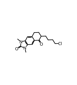 Cn1c(=O)n(C)c2cc3c(cc21)CCC(CCCCCl)C3=O